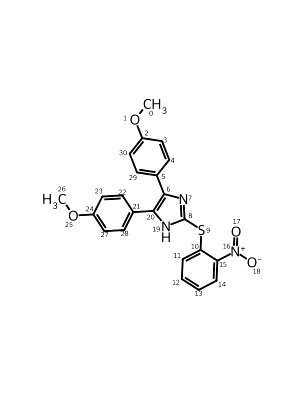 COc1ccc(-c2nc(Sc3ccccc3[N+](=O)[O-])[nH]c2-c2ccc(OC)cc2)cc1